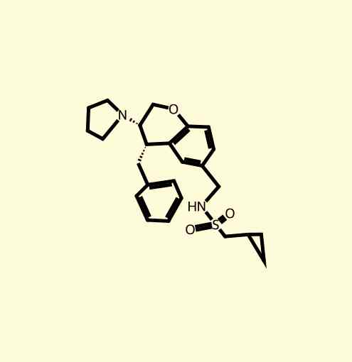 O=S(=O)(CC1CC1)NCc1ccc2c(c1)[C@H](Cc1ccccc1)[C@H](N1CCCC1)CO2